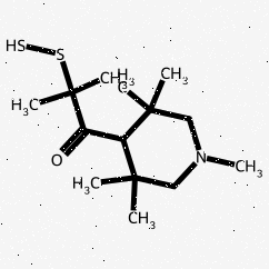 CN1CC(C)(C)C(C(=O)C(C)(C)SS)C(C)(C)C1